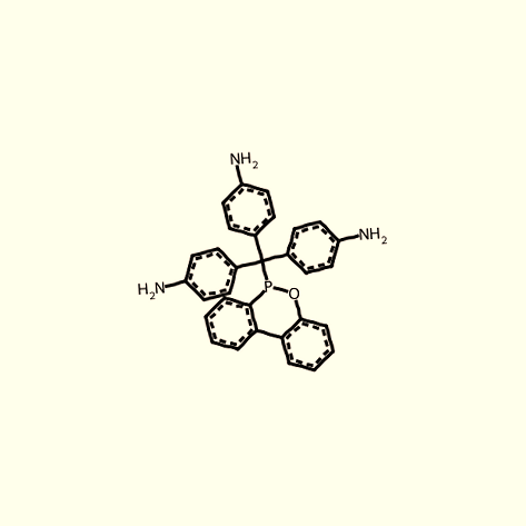 Nc1ccc(C(c2ccc(N)cc2)(c2ccc(N)cc2)P2Oc3ccccc3-c3ccccc32)cc1